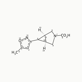 Cc1cc(C2[C@H]3CN(C(=O)O)C[C@@H]23)no1